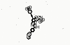 CS(=O)(=O)c1ncsc1Cn1c(=O)c(C#CC2CCN(S(C)(=O)=O)CC2)cc2cnc(Nc3ccc(N4CCN5CCCC5C4)cc3)nc21